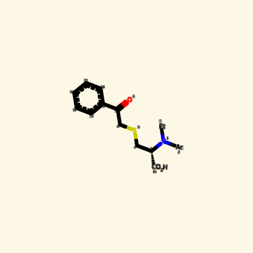 CCN(C(C)=O)[C@@H](CSCC(=O)c1ccccc1)C(=O)O